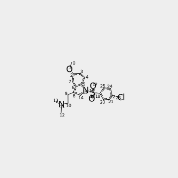 COc1ccc2c(c1)c(CCN(C)C)cn2S(=O)(=O)c1ccc(Cl)cc1